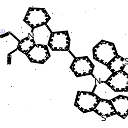 C=Cc1c(/C=C\C)n(-c2ccccc2-c2ccc(-c3ccc(N(c4cccc5sc6ccccc6c45)c4cccc5sc6ccccc6c45)cc3)cc2)c2ccccc12